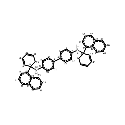 C1=CCC(Nc2ccc(-c3ccc(NC4(c5cccc6ccccc56)C=CC=CC4)cc3)cc2)(c2cccc3ccccc23)C=C1